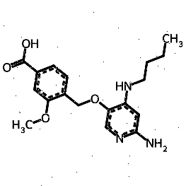 CCCCNc1cc(N)ncc1OCc1ccc(C(=O)O)cc1OC